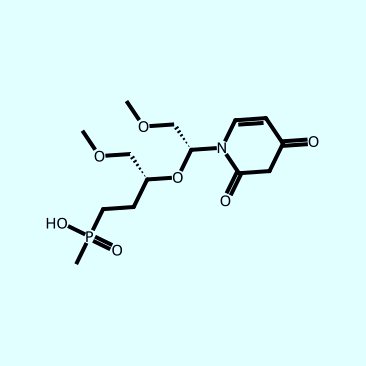 COC[C@@H](CCP(C)(=O)O)O[C@H](COC)N1C=CC(=O)CC1=O